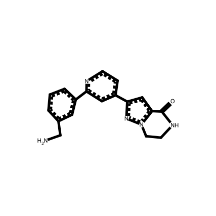 NCc1cccc(-c2cc(-c3cc4n(n3)CCNC4=O)ccn2)c1